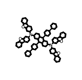 c1ccc(-c2ccc(-c3c4ccc(N(c5ccc6c(c5)oc5ccccc56)c5ccc6c(c5)oc5ccccc56)cc4c(-c4ccc(-c5ccccc5)cc4)c4ccc(N(c5ccc6c(c5)oc5ccccc56)c5ccc6c(c5)oc5ccccc56)cc34)cc2)cc1